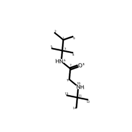 CC(C)C(C)(C)NC(=O)CNC(C)(C)C